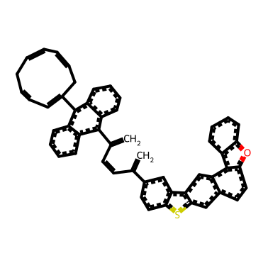 C=C(/C=C\C(=C)c1c2ccccc2c(/C2=C/C=C\C/C=C\C=C/C2)c2ccccc12)c1ccc2sc3cc4ccc5oc6ccccc6c5c4cc3c2c1